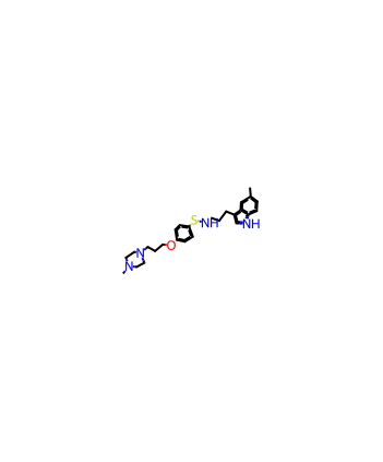 Cc1ccc2[nH]cc(CCCNSc3ccc(OCCCN4CCN(C)CC4)cc3)c2c1